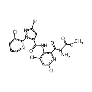 COC(=O)N(N)C(=O)c1nc(Cl)cc(Cl)c1NC(=O)c1cc(Br)nn1-c1ncccc1Cl